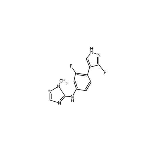 Cn1ncnc1Nc1ccc(-c2c[nH]nc2F)c(F)c1